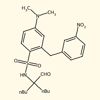 CCCCC(C=O)(CCCC)NS(=O)(=O)c1ccc(N(C)C)cc1Cc1cccc([N+](=O)[O-])c1